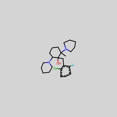 CC1(N2CCCCC2)CCCC(N2CCCCC2)C1(O)Cc1c(F)cccc1Cl